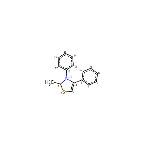 CC1SC=C(c2ccccc2)N1c1ccccc1